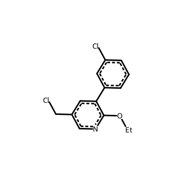 CCOc1ncc(CCl)cc1-c1cccc(Cl)c1